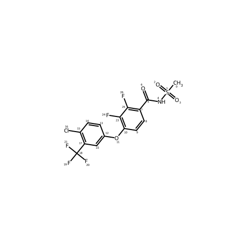 CS(=O)(=O)NC(=O)c1ccc(Oc2ccc(Cl)c(C(F)(F)F)c2)c(F)c1F